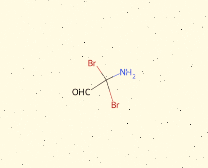 NC(Br)(Br)C=O